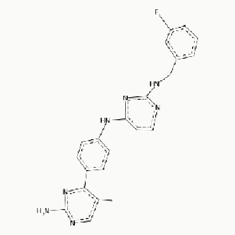 Cc1cnc(N)nc1-c1ccc(Nc2ccnc(NCc3cccc(F)c3)n2)cc1